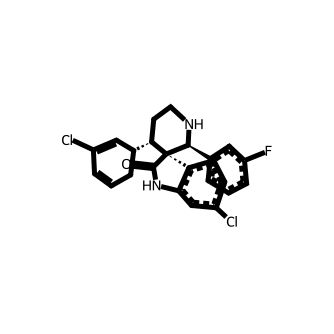 O=C1Nc2cc(Cl)ccc2[C@]12[C@H](c1cccc(F)c1)NCC[C@H]2C1C=C(Cl)C=CC1